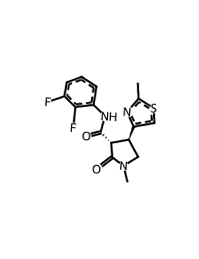 Cc1nc([C@H]2CN(C)C(=O)[C@@H]2C(=O)Nc2cccc(F)c2F)cs1